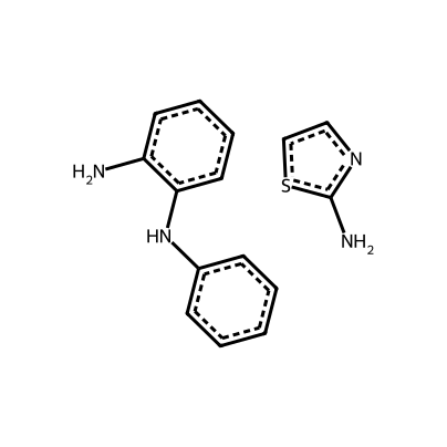 Nc1ccccc1Nc1ccccc1.Nc1nccs1